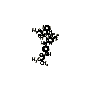 CC(C)CC(=O)Nc1ccc(Nc2ncc(C(F)(F)F)c(NCc3cccnc3N(C)[SH](=O)=O)n2)cc1